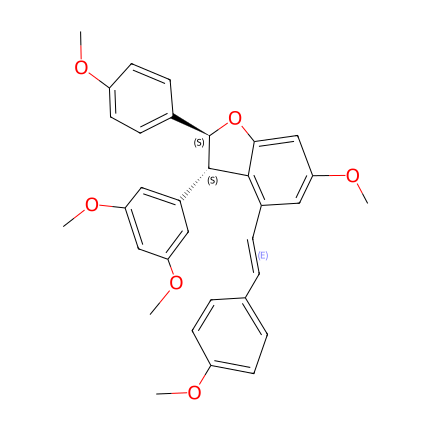 COc1ccc(/C=C/c2cc(OC)cc3c2[C@H](c2cc(OC)cc(OC)c2)[C@@H](c2ccc(OC)cc2)O3)cc1